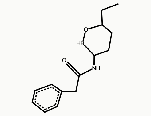 CCC1CCC(NC(=O)Cc2ccccc2)BO1